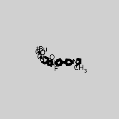 C[C@@H]1CCCN1C1CCC(c2ccc(N3CCC4(CCN(OC(=O)OC(C)(C)C)CC4)C3=O)c(F)c2)CC1